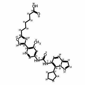 Cc1cc(NC(=O)Nc2cnc3ccnn3c2C2CCCC2)cnc1-c1noc(CCCCCC(=O)O)n1